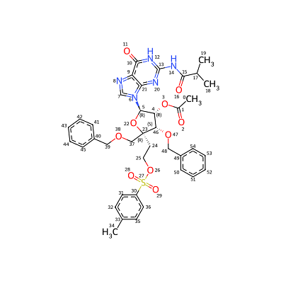 CC(=O)O[C@H]1[C@H](n2cnc3c(=O)[nH]c(NC(=O)C(C)C)nc32)O[C@](CCOS(=O)(=O)c2ccc(C)cc2)(COCc2ccccc2)[C@H]1OCc1ccccc1